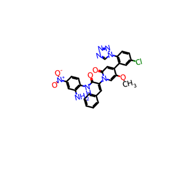 COc1cn(C(=Cc2ccccc2)C(=O)Nc2ccc([N+](=O)[O-])cc2N)c(=O)cc1-c1cc(Cl)ccc1-n1cnnn1